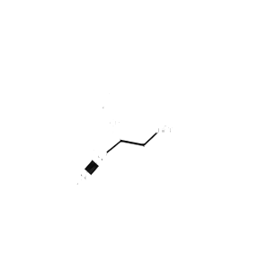 CCCCC[N+]#N.[O-2].[O-2]